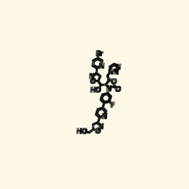 O=C1O[C@H](Cn2ccnn2)C(C(O)C2CC(c3ccc(Br)cn3)=NO2)N1c1ccc(-c2ccc(C3=NOC(CO)C3)nc2)c(F)c1